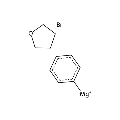 C1CCOC1.[Br-].[Mg+][c]1ccccc1